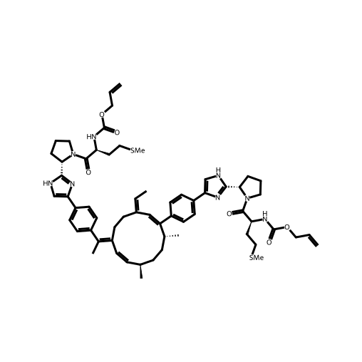 C=CCOC(=O)N[C@@H](CCSC)C(=O)N1CCC[C@H]1c1nc(-c2ccc(/C3=C/C(=C\C)CCC(=C(/C)c4ccc(-c5c[nH]c([C@@H]6CCCN6C(=O)[C@H](CCSC)NC(=O)OCC=C)n5)cc4)/C=C\[C@H](C)CC[C@H]3C)cc2)c[nH]1